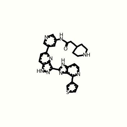 O=C(CC1CCNCC1)Nc1cncc(-c2ccc3[nH]nc(-c4nc5c(-c6ccsc6)nccc5[nH]4)c3n2)c1